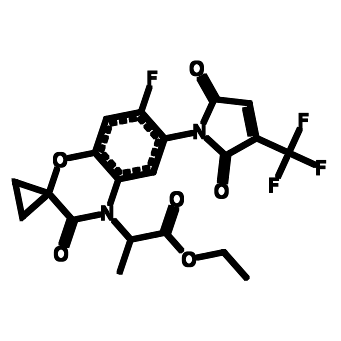 CCOC(=O)C(C)N1C(=O)C2(CC2)Oc2cc(F)c(N3C(=O)C=C(C(F)(F)F)C3=O)cc21